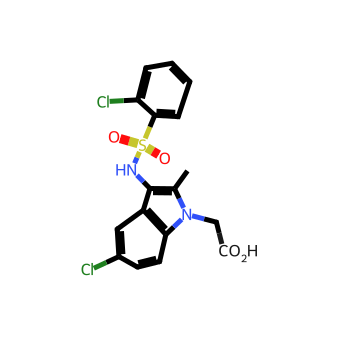 Cc1c(NS(=O)(=O)c2ccccc2Cl)c2cc(Cl)ccc2n1CC(=O)O